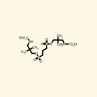 CCOC(=O)NCC(C)(C)COS(=O)(=O)CCCS(=O)(=O)OCC(C)(C)CNC(=O)OCC